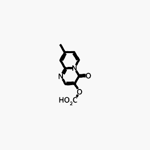 Cc1ccn2c(=O)c(OC(=O)O)cnc2c1